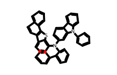 c1ccc(-c2ccccc2N(c2ccc3c4ccccc4n(-c4ccccc4)c3c2)c2cccc3c2sc2c4ccccc4ccc32)cc1